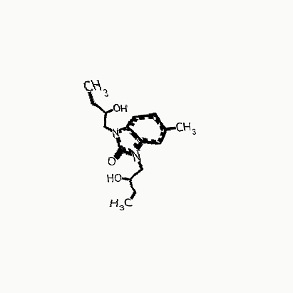 CCC(O)Cn1c(=O)n(CC(O)CC)c2cc(C)ccc21